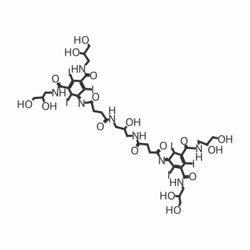 O=C(CCC(=O)NCC(O)CNC(=O)CCC(=O)N=C1C(I)=C(C(=O)NCC(O)CO)C(I)=C(C(=O)NCC(O)CO)C1I)N=C1C(I)=C(C(=O)NCC(O)CO)C(I)=C(C(=O)NCC(O)CO)C1I